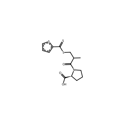 CC(CSC(=S)c1cccs1)C(=O)N1CCC[C@H]1C(=O)O